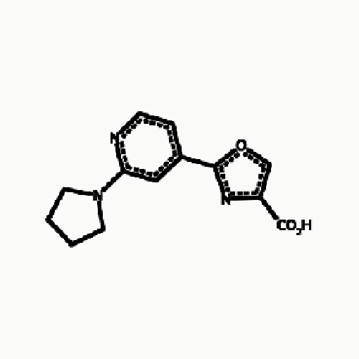 O=C(O)c1coc(-c2ccnc(N3CCCC3)c2)n1